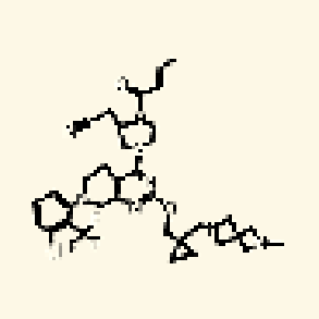 C/C=C/C(=O)N1CCN(c2nc(OCC3(CN4CC5(CN(C)C5)C4)CC3)nc3c2CCN(c2cccc(Cl)c2C(F)(F)F)C3)CC1CC#N